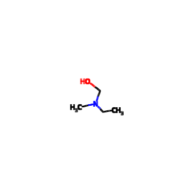 CCN(C)CO